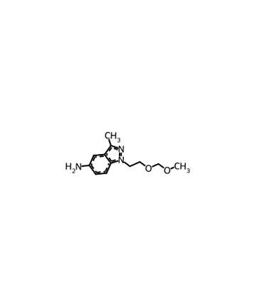 COCOCCn1nc(C)c2cc(N)ccc21